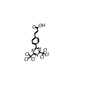 O=C(O)C=Cc1ccc(-c2nc(C(Cl)(Cl)Cl)nc(C(Cl)(Cl)Cl)n2)cc1